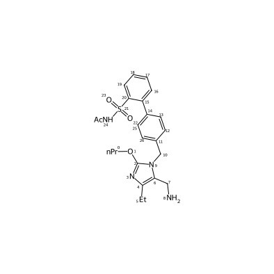 CCCOc1nc(CC)c(CN)n1Cc1ccc(-c2ccccc2S(=O)(=O)NC(C)=O)cc1